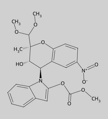 COC(=O)Oc1cc2ccccc2n1[C@@H]1c2cc([N+](=O)[O-])ccc2O[C@](C)(C(OC)OC)[C@H]1O